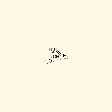 C=C.O.O